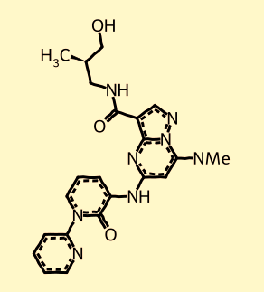 CNc1cc(Nc2cccn(-c3ccccn3)c2=O)nc2c(C(=O)NC[C@@H](C)CO)cnn12